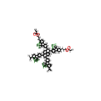 C=CC(=O)OCCCc1ccc2c(c1)C(C)(C(F)(F)F)c1cc(-c3cc(-c4ccc5c(c4)C(C)(C(F)(F)F)c4cc(CCCOC(=O)C=C)ccc4-5)c4ccc5c(-c6ccc7c(c6)C(C)(C(F)(F)F)c6cc(C(=C)C)ccc6-7)cc(-c6ccc7c(c6)C(C)(C(F)(F)F)c6cc(C(=C)C)ccc6-7)c6ccc3c4c65)ccc1-2